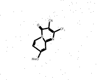 COc1ccn2c(=O)c(C#N)c(C(F)(F)F)nc2c1